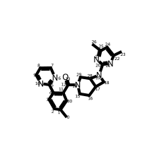 Cc1ccc(-c2ncccn2)c(C(=O)N2CCC3CN(c4nc(C)cc(C)n4)C3C2)c1